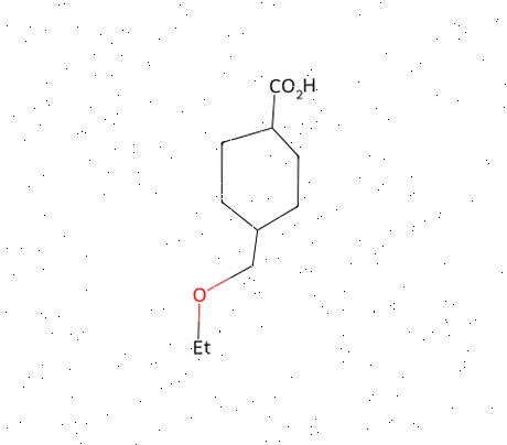 CCOCC1CCC(C(=O)O)CC1